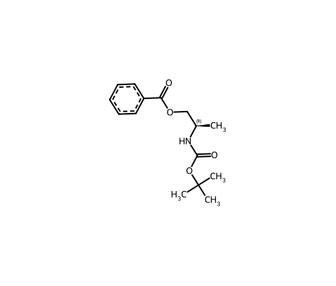 C[C@H](COC(=O)c1ccccc1)NC(=O)OC(C)(C)C